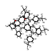 Cc1cc(C)cc(-c2ccccc2N(c2cc3c4c(c2)N(c2ccc(C(C)(C)C)cc2)c2ccc(C(C)(C)C)cc2B4c2cc(C(C)(C)C)ccc2N3c2ccc(C(C)(C)C)cc2)c2cccc3ccccc23)c1